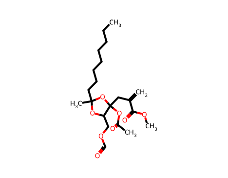 C=C(CC1(OC(C)=O)OC(C)(CCCCCCCC)OC1COC=O)C(=O)OC